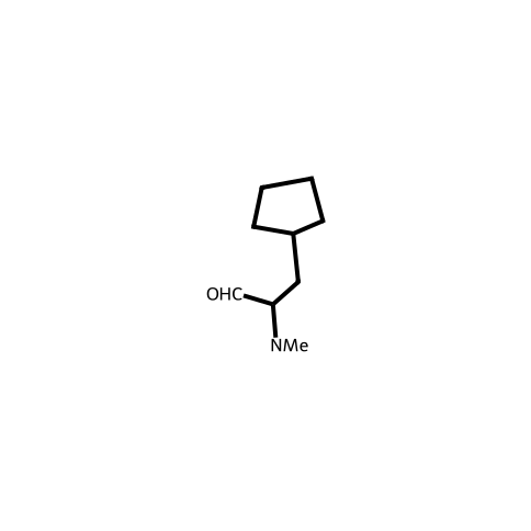 CNC(C=O)CC1CCCC1